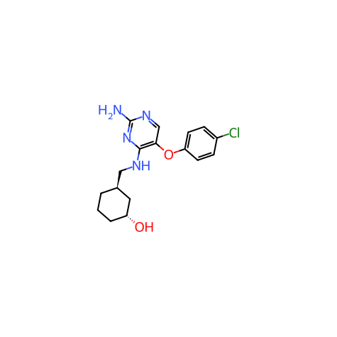 Nc1ncc(Oc2ccc(Cl)cc2)c(NC[C@@H]2CCC[C@@H](O)C2)n1